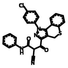 N#CC(C(=O)Nc1ccccc1)C(=O)c1nn(-c2ccc(Cl)cc2)c2c1CSc1ccccc1-2